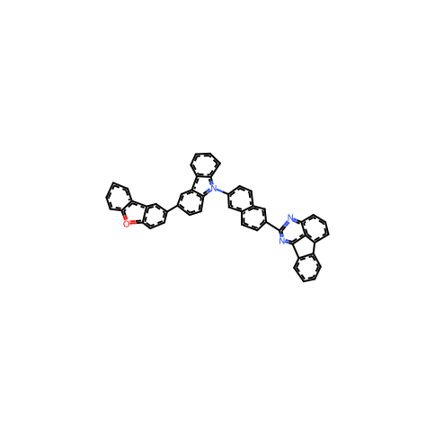 c1ccc2c(c1)-c1cccc3nc(-c4ccc5cc(-n6c7ccccc7c7cc(-c8ccc9oc%10ccccc%10c9c8)ccc76)ccc5c4)nc-2c13